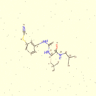 C=C(Nc1cccc(SC#N)c1)N[C@@H](CC(C)C)C(=O)NCC(C)C